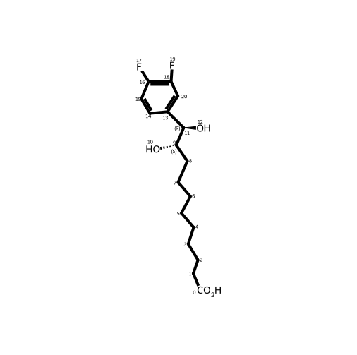 O=C(O)CCCCCCCC[C@H](O)[C@H](O)c1ccc(F)c(F)c1